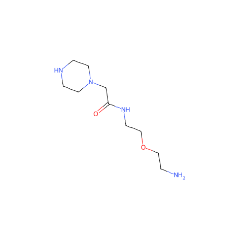 NCCOCCNC(=O)CN1CCNCC1